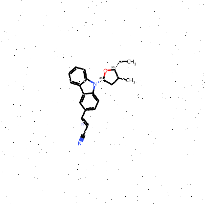 CC[C@H]1O[C@@H](n2c3ccccc3c3cc(/C=C/C#N)ccc32)CC1C